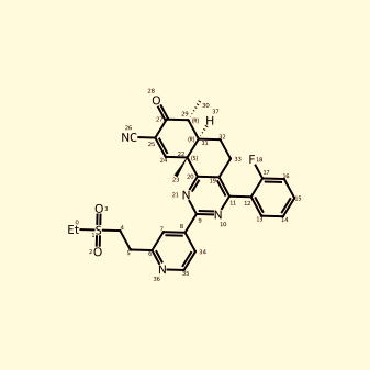 CCS(=O)(=O)CCc1cc(-c2nc(-c3ccccc3F)c3c(n2)[C@]2(C)C=C(C#N)C(=O)[C@H](C)[C@H]2CC3)ccn1